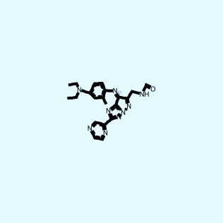 CCN(CC)c1ccc(/N=C2/C(CNC=O)=Nn3nc(-c4cnccn4)nc32)c(C)c1